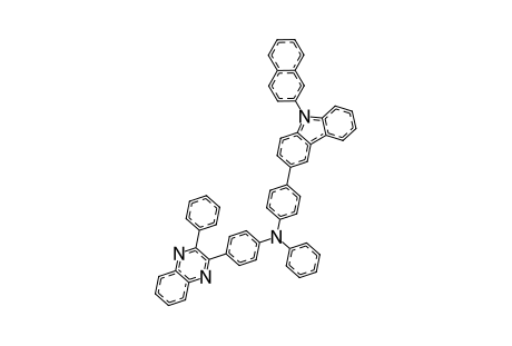 c1ccc(-c2nc3ccccc3nc2-c2ccc(N(c3ccccc3)c3ccc(-c4ccc5c(c4)c4ccccc4n5-c4ccc5ccccc5c4)cc3)cc2)cc1